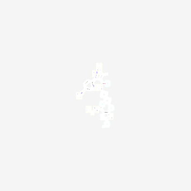 COc1nc(OC2CC3(CC(NC(=O)c4c(-c5ccc(C#N)cc5)n[nH]c4C)C3)C2)c(C(N)=O)s1